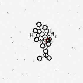 CC1C2=C3C(C)(C4=C1C(c1ccccc1)(c1ccccc1)c1ccccc14)c1ccccc1N(c1ccccc1-c1ccccc1)C3(C)c1c(oc3ccc(-c4ccc5c(c4)c4ccccc4n5-c4ccccc4)cc13)C2C